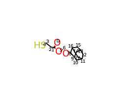 O=C(CCS)OCOC1C2CC3CC(C2)CC1C3